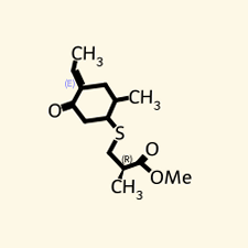 C/C=C1\CC(C)C(SC[C@H](C)C(=O)OC)CC1=O